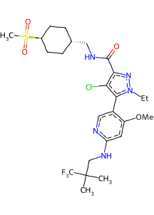 CCn1nc(C(=O)NC[C@H]2CC[C@H](S(C)(=O)=O)CC2)c(Cl)c1-c1cnc(NCC(C)(C)C(F)(F)F)cc1OC